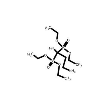 CCOP(=O)(OCC)C(O)(CCN)P(=O)(OCC)OCC